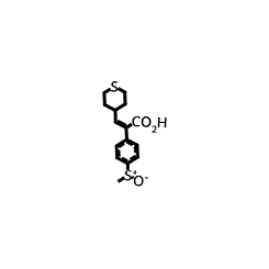 C[S+]([O-])c1ccc(C(=CC2CCSCC2)C(=O)O)cc1